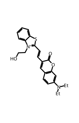 CCN(CC)c1ccc2cc(/C=C/c3sc4ccccc4[n+]3CCO)c(=O)oc2c1